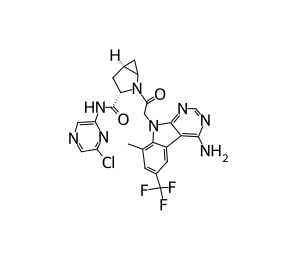 Cc1cc(C(F)(F)F)cc2c3c(N)ncnc3n(CC(=O)N3C4C[C@@H]4C[C@H]3C(=O)Nc3cncc(Cl)n3)c12